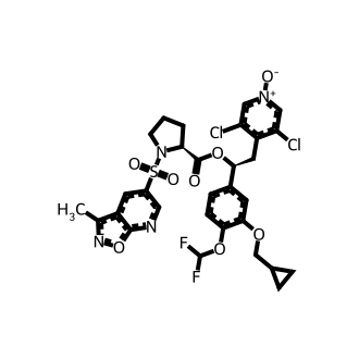 Cc1noc2ncc(S(=O)(=O)N3CCC[C@H]3C(=O)O[C@@H](Cc3c(Cl)c[n+]([O-])cc3Cl)c3ccc(OC(F)F)c(OCC4CC4)c3)cc12